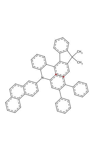 CC1(C)c2ccccc2-c2c(-c3ccccc3N(c3ccc(-c4ccccc4)c(-c4ccccc4)c3)c3ccc4c(ccc5ccccc54)c3)cccc21